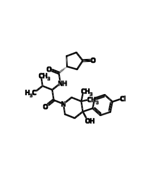 CC(C)C(NC(=O)[C@@H]1CCC(=O)C1)C(=O)N1CCC(O)(c2ccc(Cl)cc2)C(C)(C)C1